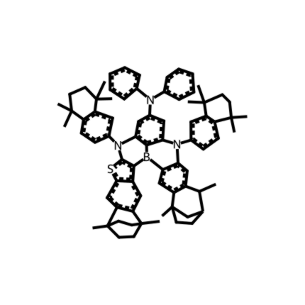 CC1c2cc3c(cc2C2(C)CCC1C2)B1c2c(cc(N(c4ccccc4)c4ccccc4)cc2N(c2ccc4c(c2)C(C)(C)CCC4(C)C)c2sc4cc5c(cc4c21)C1(C)CCC5(C)CC1)N3c1ccc2c(c1)C(C)(C)CCC2(C)C